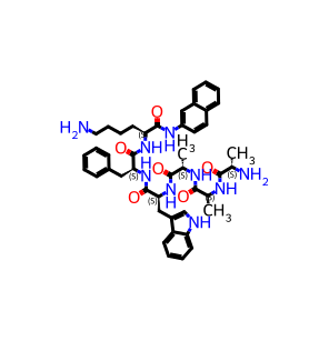 C[C@H](N)C(=O)N[C@@H](C)C(=O)N[C@@H](C)C(=O)N[C@@H](Cc1c[nH]c2ccccc12)C(=O)N[C@@H](Cc1ccccc1)C(=O)N[C@@H](CCCCN)C(=O)Nc1ccc2ccccc2c1